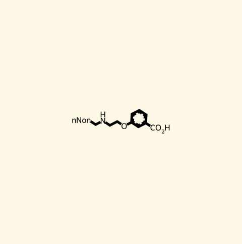 CCCCCCCCCCNCCOc1cccc(C(=O)O)c1